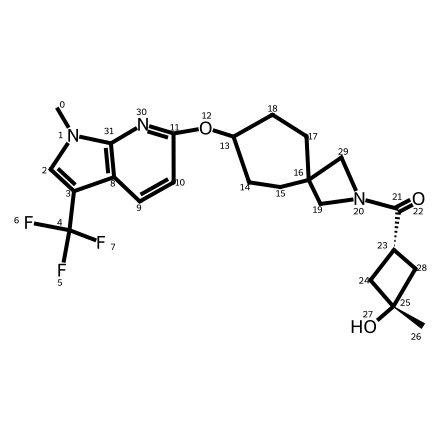 Cn1cc(C(F)(F)F)c2ccc(OC3CCC4(CC3)CN(C(=O)[C@H]3C[C@@](C)(O)C3)C4)nc21